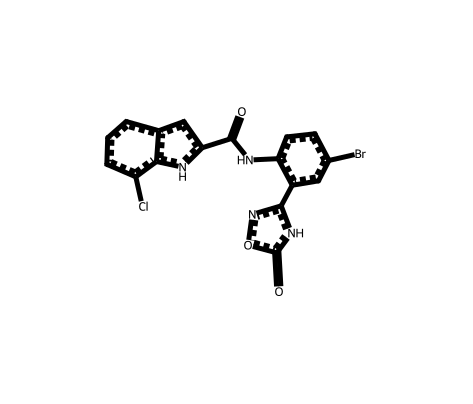 O=C(Nc1ccc(Br)cc1-c1noc(=O)[nH]1)c1cc2cccc(Cl)c2[nH]1